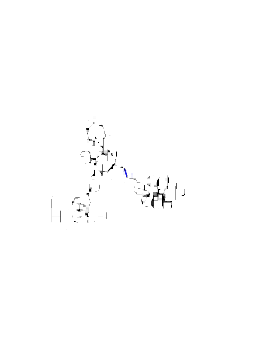 CC(C)(C)[Si](C)(C)OC/C=C/c1cn(COCC[Si](C)(C)C)c(=O)c(N2CCCCC2)n1